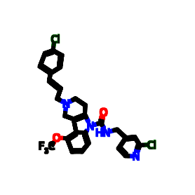 O=C(NCc1ccnc(Cl)c1)n1c2c(c3c(OC(F)(F)F)cccc31)CN(CC=Cc1ccc(Cl)cc1)CC2